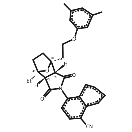 CC[C@]12CC[C@](CCOc3cc(C)cc(C)c3)(O1)[C@@H]1C(=O)N(c3ccc(C#N)c4ccccc34)C(=O)[C@@H]12